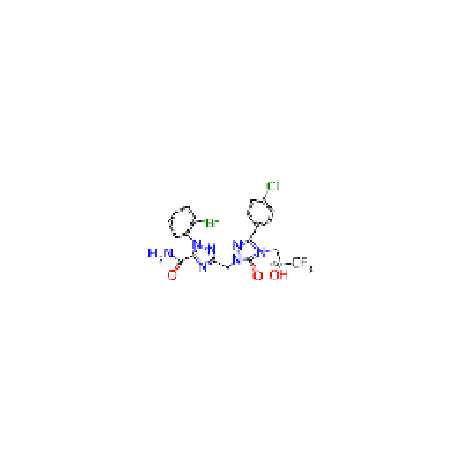 NC(=O)c1nc(Cn2nc(-c3ccc(Cl)cc3)n(C[C@H](O)C(F)(F)F)c2=O)nn1-c1ccccc1Br